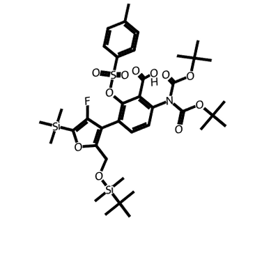 CC1=C=C=C(S(=O)(=O)Oc2c(-c3c(CO[Si](C)(C)C(C)(C)C)oc([Si](C)(C)C)c3F)ccc(N(C(=O)OC(C)(C)C)C(=O)OC(C)(C)C)c2C(=O)O)C=C1